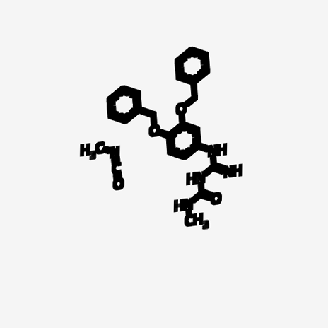 CN=C=O.CNC(=O)NC(=N)Nc1ccc(OCc2ccccc2)c(OCc2ccccc2)c1